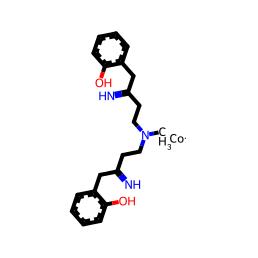 CN(CCC(=N)Cc1ccccc1O)CCC(=N)Cc1ccccc1O.[Co]